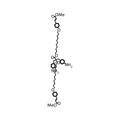 COC(=O)C=Cc1ccc(OCCCCCCCCCCCOC(=O)C(Cc2ccc(N)cc2)(Cc2ccc(N)cc2)C(=O)OCCCCCCCCCCCOc2ccc(C=CC(=O)OC)cc2)cc1